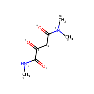 CNC(=O)C(=O)CC(=O)N(C)C